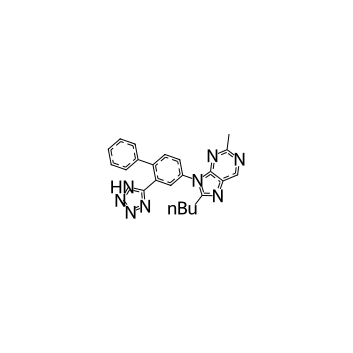 CCCCc1nc2cnc(C)nc2n1-c1ccc(-c2ccccc2)c(-c2nnn[nH]2)c1